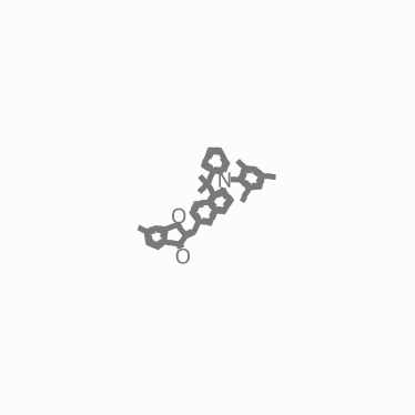 Cc1cc(C)c(N2c3ccccc3C(C)(C)c3c2ccc2cc(/C=C4/C(=O)c5ccc(C)cc5C4=O)ccc32)c(C)c1